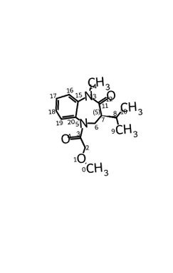 COCC(=O)N1C[C@H](C(C)C)C(=O)N(C)c2ccccc21